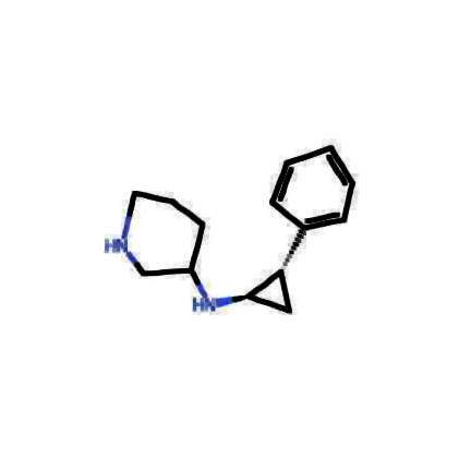 c1ccc([C@@H]2C[C@H]2NC2CCCNC2)cc1